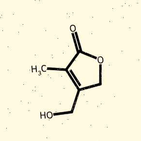 CC1=C(CO)COC1=O